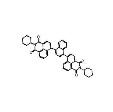 O=C1c2cccc3c(-c4ccc(-c5ccc6c7c(cccc57)C(=O)N(C5CCCCC5)C6=O)c5ccccc45)ccc(c23)C(=O)N1C1CCCCC1